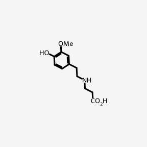 COc1cc(CCNCCC(=O)O)ccc1O